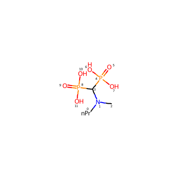 CCCN(C)C(P(=O)(O)O)P(=O)(O)O